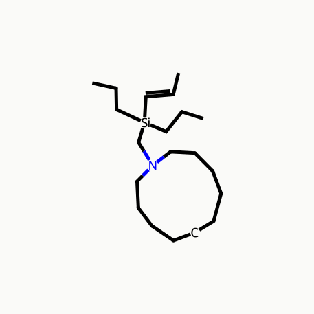 CC=C[Si](CCC)(CCC)CN1CCCCCCCCCC1